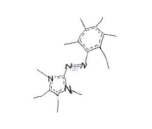 Cc1c(C)c(C)c(/N=N/c2n(C)c(C)c(C)[n+]2C)c(C)c1C